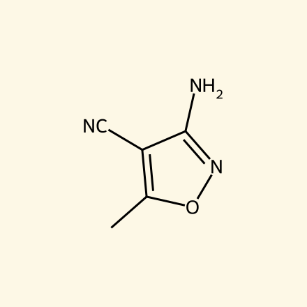 Cc1onc(N)c1C#N